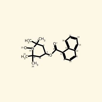 CC1(C)CC(OC(=O)c2cccc3ccccc23)CC(C)(C)N1[O]